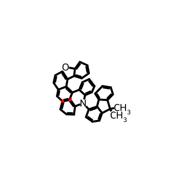 CC1(C)c2ccccc2-c2c(N(c3ccccc3)c3ccccc3-c3cccc4ccc5oc6ccccc6c5c34)cccc21